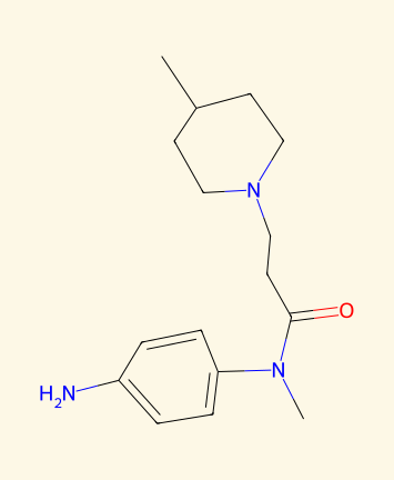 CC1CCN(CCC(=O)N(C)c2ccc(N)cc2)CC1